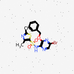 Cc1nc(C)c(S(=O)(=O)Nc2ncc(Br)nc2OCc2ccccc2)s1